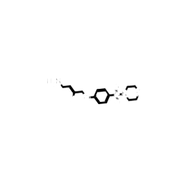 NCC=C(F)COc1ccc(S(=O)(=O)N2CCOCC2)cc1